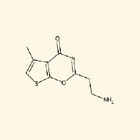 Cc1csc2oc(CCN)nc(=O)c12